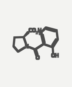 O=C(O)[C@@H]1CCCN1C(=O)c1ncccc1O